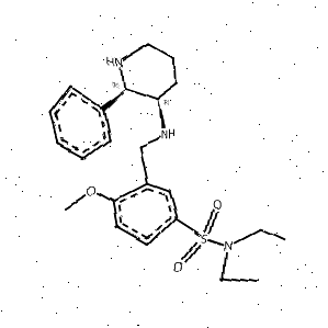 CCN(CC)S(=O)(=O)c1ccc(OC)c(CN[C@@H]2CCCN[C@@H]2c2ccccc2)c1